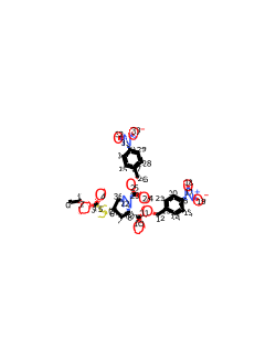 CCOC(=O)S[C@H]1C[C@@H](C(=O)OCc2ccc([N+](=O)[O-])cc2)N(C(=O)OCc2ccc([N+](=O)[O-])cc2)C1